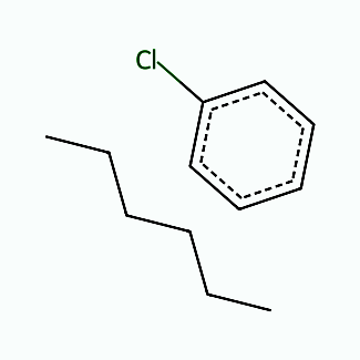 CCCCCC.Clc1ccccc1